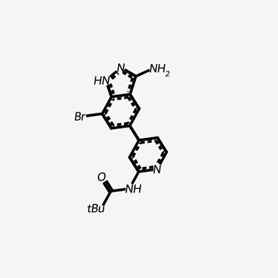 CC(C)(C)C(=O)Nc1cc(-c2cc(Br)c3[nH]nc(N)c3c2)ccn1